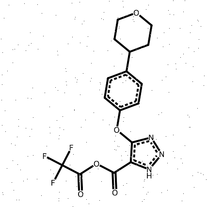 O=C(OC(=O)C(F)(F)F)c1[nH]nnc1Oc1ccc(C2CCOCC2)cc1